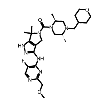 COCc1ncc(F)c(Nc2n[nH]c3c2CN(C(=O)N2C[C@@H](C)N(CC4CCOCC4)C[C@@H]2C)C3(C)C)n1